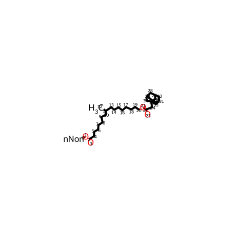 CCCCCCCCCOC(=O)CCCCCCCC(C)CCCCCCCCOC(=O)CC12CC3CC(CC(C3)C1)C2